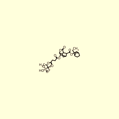 CCC1(OC(=O)C2C3CC4C(OC(=O)C42)C3OC(=O)CCC(=O)OC(C)C(F)(F)S(=O)(=O)O)CC2CCC1C2